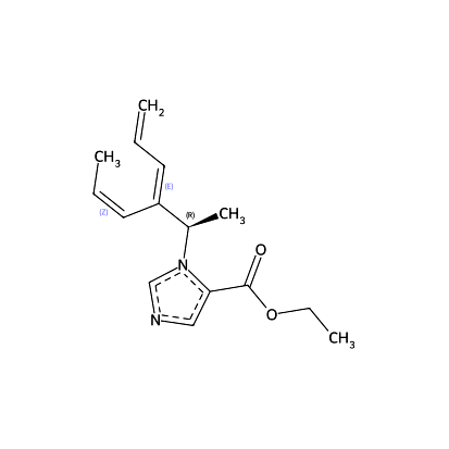 C=C/C=C(\C=C/C)[C@@H](C)n1cncc1C(=O)OCC